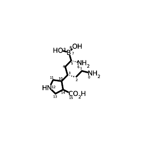 NCC[C@@H](C[C@@H](N)B(O)O)C1CNCC1C(=O)O